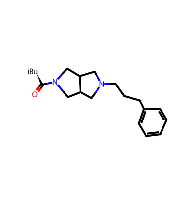 CC[C@H](C)C(=O)N1CC2CN(CC[CH]c3ccccc3)CC2C1